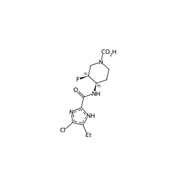 CCc1[nH]c(C(=O)N[C@@H]2CCN(C(=O)O)C[C@@H]2F)nc1Cl